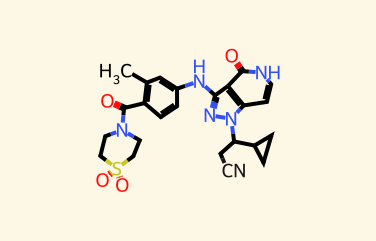 Cc1cc(Nc2nn(C(CC#N)C3CC3)c3cc[nH]c(=O)c23)ccc1C(=O)N1CCS(=O)(=O)CC1